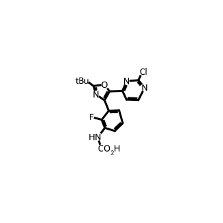 CC(C)(C)c1nc(-c2cccc(NC(=O)O)c2F)c(-c2ccnc(Cl)n2)o1